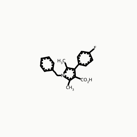 Cc1c(C(=O)O)c(-c2ccc(F)cc2)c(C)n1Cc1ccccc1